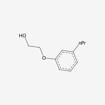 [CH2]CCc1cccc(OCCO)c1